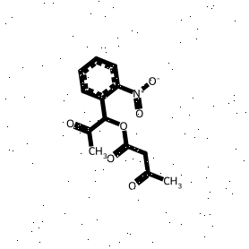 CC(=O)CC(=O)OC(C(C)=O)c1ccccc1[N+](=O)[O-]